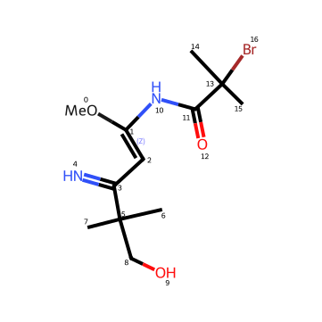 CO/C(=C\C(=N)C(C)(C)CO)NC(=O)C(C)(C)Br